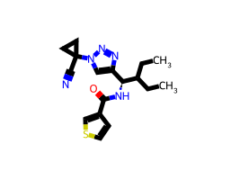 CCC(CC)[C@H](NC(=O)c1ccsc1)c1cn(C2(C#N)CC2)nn1